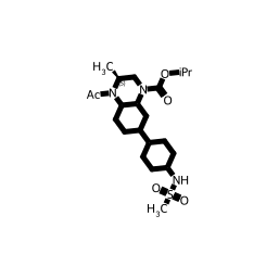 CC(=O)N1C2CCC(C3CCC(NS(C)(=O)=O)CC3)CC2N(C(=O)OC(C)C)C[C@@H]1C